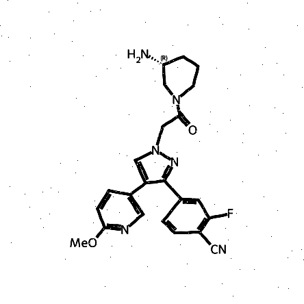 COc1ccc(-c2cn(CC(=O)N3CCC[C@@H](N)C3)nc2-c2ccc(C#N)c(F)c2)cn1